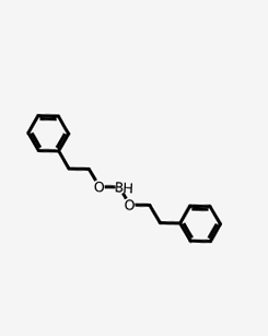 B(OCCc1ccccc1)OCCc1ccccc1